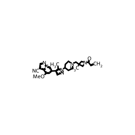 C=CC(=O)N1CC(C)(CN2CCC(n3ncc(-c4cc(OC)c5c(C#N)cnn5c4)c3C)CC2)C1